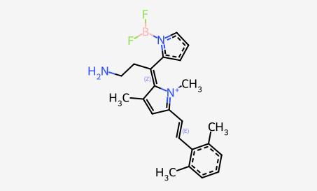 CC1=CC(/C=C/c2c(C)cccc2C)=[N+](C)C/1=C(/CCN)c1cccn1B(F)F